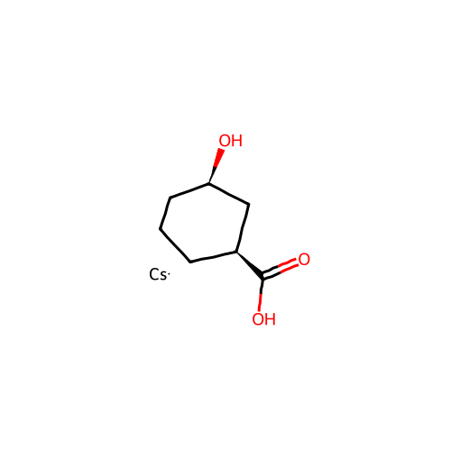 O=C(O)[C@H]1CCC[C@@H](O)C1.[Cs]